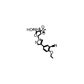 CCOc1ccc(-c2cnn(CCC(C)(C(=O)NO)S(C)(=O)=O)c2)cc1C#N